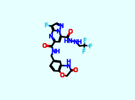 O=C1COc2ccc(CNC(=O)c3cc(C(=O)NNCC(F)(F)F)n4ncc(F)c4n3)cc2N1